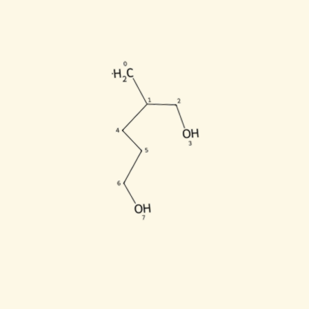 [CH2]C(CO)CCCO